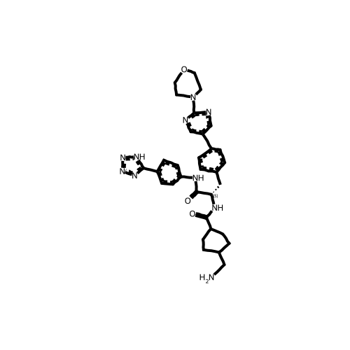 NCC1CCC(C(=O)N[C@@H](Cc2ccc(-c3cnc(N4CCOCC4)nc3)cc2)C(=O)Nc2ccc(-c3nnn[nH]3)cc2)CC1